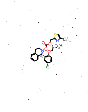 Cc1csc(COC(=O)ON2CCc3ccccc3[C@H]2c2cc(Cl)ccc2OCC(=O)O)n1